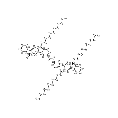 CCCCCCCCCCCCn1c2ccc(/C=C/c3ccc4c(c3)c3cc5c(cc3n4CCCCCCCCCCCC)c3ccccc3n5CCCCCCCCCCCC)cc2c2cc3c(cc21)c1ccccc1n3C